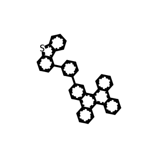 c1cc(-c2ccc3c4ccccc4c4c5ccccc5c5ccccc5c4c3c2)cc(-c2cccc3sc4ccccc4c23)c1